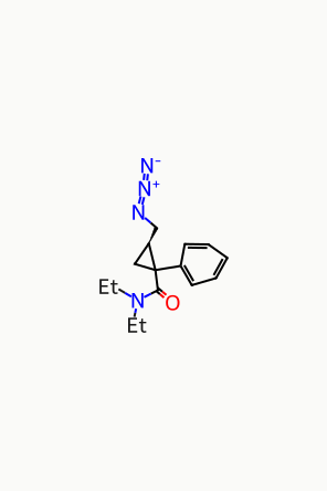 CCN(CC)C(=O)C1(c2ccccc2)C[C@H]1CN=[N+]=[N-]